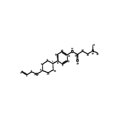 C=CCOC1CCC(c2ccc(OC(=O)CCN(C)C)cc2)CC1